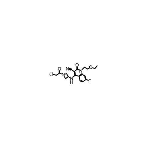 CCOCCn1c(=O)c(C#N)c(NC2CN(C(=O)CCl)C2)c2ccc(F)cc21